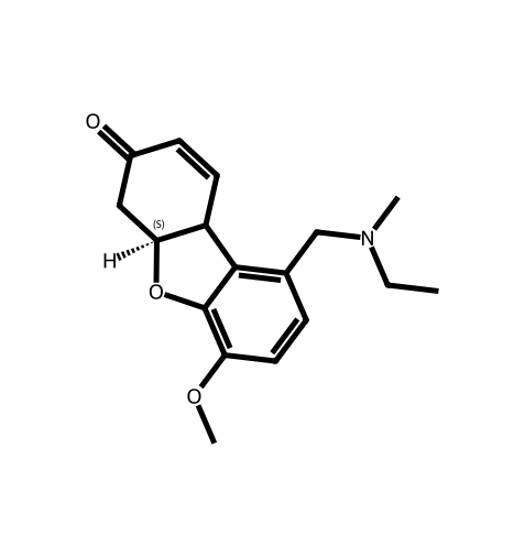 CCN(C)Cc1ccc(OC)c2c1C1C=CC(=O)C[C@@H]1O2